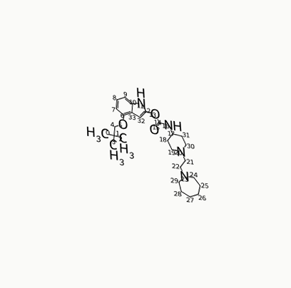 CC(C)(C)COc1cccc2[nH]c(OC(=O)NC3CCN(CCN4CCCCCC4)CC3)cc12